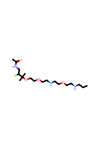 CCCNCCOCCNCCOCCOC(C)(C)C(F)CNC(C)=O